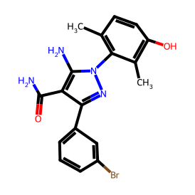 Cc1ccc(O)c(C)c1-n1nc(-c2cccc(Br)c2)c(C(N)=O)c1N